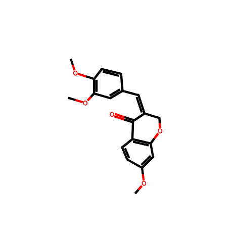 COc1ccc2c(c1)OC/C(=C/c1ccc(OC)c(OC)c1)C2=O